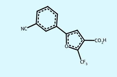 N#Cc1cccc(-c2cc(C(=O)O)c(C(F)(F)F)o2)c1